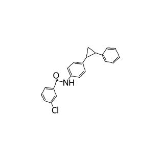 O=C(Nc1ccc(C2CC2c2ccccc2)cc1)c1cccc(Cl)c1